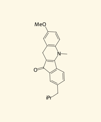 COc1ccc2c(c1)CC1=C(c3ccc(CC(C)C)cc3C1=O)N2C